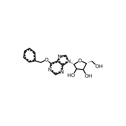 OC[C@H]1O[C@@H](n2cnc3c(OCc4ccccc4)ncnc32)C(O)C1O